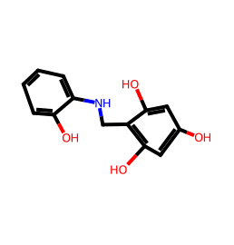 Oc1cc(O)c(CNc2ccccc2O)c(O)c1